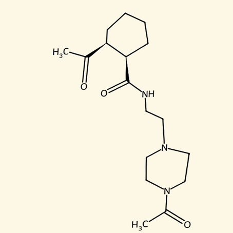 CC(=O)[C@H]1CCCC[C@H]1C(=O)NCCN1CCN(C(C)=O)CC1